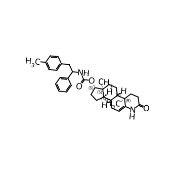 Cc1ccc(CC(NC(=O)O[C@H]2CC[C@H]3[C@@H]4CC=C5NC(=O)CC[C@]5(C)[C@H]4CC[C@]23C)c2ccccc2)cc1